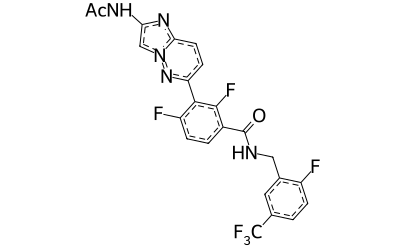 CC(=O)Nc1cn2nc(-c3c(F)ccc(C(=O)NCc4cc(C(F)(F)F)ccc4F)c3F)ccc2n1